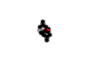 N#Cc1cc(-n2c3ccccc3c3ccc(-c4nc(-c5ccccc5)nc(-c5ccccc5)n4)cc32)c(-c2c(F)cccc2F)cc1-n1c2ccccc2c2ccc(-c3nc(-c4ccccc4)nc(-c4ccccc4)n3)cc21